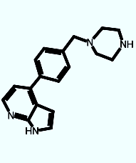 c1cc(-c2ccc(CN3CCNCC3)cc2)c2cc[nH]c2n1